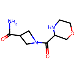 NC(=O)C1CN(C(=O)C2COCCN2)C1